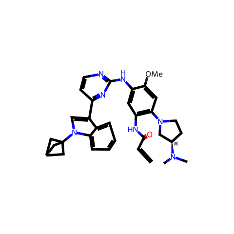 C=CC(=O)Nc1cc(Nc2nccc(-c3cn(C45CC(C4)C5)c4ccccc34)n2)c(OC)cc1N1CC[C@@H](N(C)C)C1